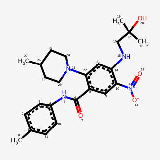 Cc1ccc(NC(=O)c2cc([N+](=O)[O-])c(NCC(C)(C)O)cc2N2CCC(C)CC2)cc1